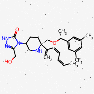 C=C(/C=C\C=C/C)[C@]1(CO[C@H](C)c2cc(C(F)(F)F)cc(C(F)(F)F)c2)CC[C@H](n2c(CO)n[nH]c2=O)CN1